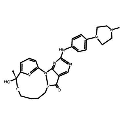 CN1CCN(c2ccc(Nc3ncc4c(=O)n5n(c4n3)-c3cccc(n3)[C@@](C)(O)CCCCC5)cc2)CC1